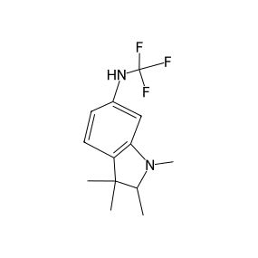 CC1N(C)c2cc(NC(F)(F)F)ccc2C1(C)C